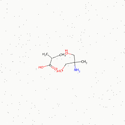 CC(C)C(=O)O.CC(N)(CO)CO